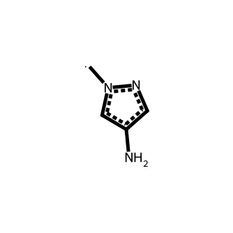 [CH2]n1cc(N)cn1